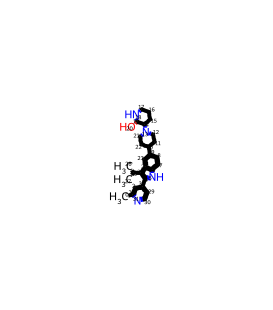 Cc1cc(-c2[nH]c3ccc(C4CCN(C5CCCNC5O)CC4)cc3c2C(C)C)ccn1